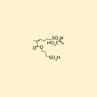 C=C(C)C(=O)O.CC(=CCCCS(=O)(=O)O)C(=O)OCCCS(=O)(=O)O